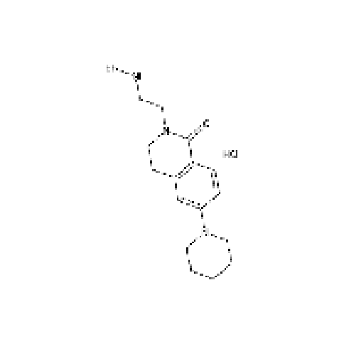 CCNCCN1CCc2cc(N3CCCCC3)ccc2C1=O.Cl